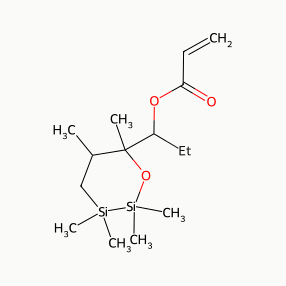 C=CC(=O)OC(CC)C1(C)O[Si](C)(C)[Si](C)(C)CC1C